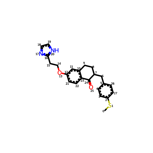 CSc1ccc(CC2CCc3cc(OCCc4ncc[nH]4)ccc3C2=O)cc1